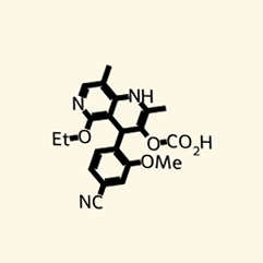 CCOc1ncc(C)c2c1C(c1ccc(C#N)cc1OC)C(OC(=O)O)=C(C)N2